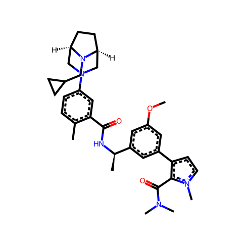 COc1cc(-c2ccn(C)c2C(=O)N(C)C)cc([C@@H](C)NC(=O)c2cc(N3C[C@H]4CC[C@@H](C3)N4CC3CC3)ccc2C)c1